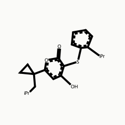 CC(C)CC1(c2cc(O)c(Sc3ccccc3C(C)C)c(=O)o2)CC1